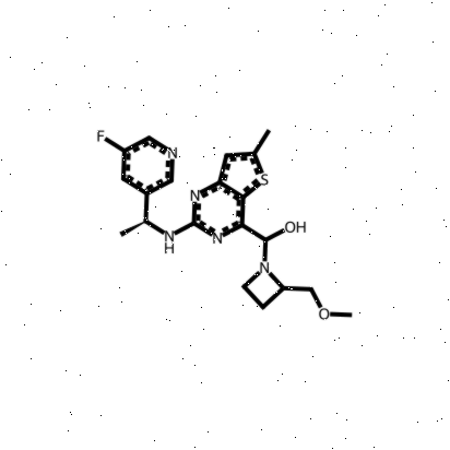 COCC1CCN1C(O)c1nc(N[C@@H](C)c2cncc(F)c2)nc2cc(C)sc12